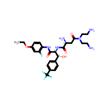 CCOc1ccc(NC(=O)[C@@H](NC(=O)[C@@H](N)CC(=O)N(CCN)CCN)[C@H](O)c2ccc(C(F)(F)F)cc2)c(F)c1